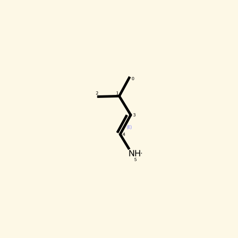 CC(C)/C=C/[NH]